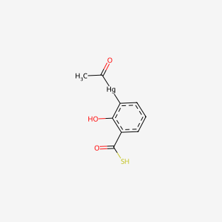 C[C](=O)[Hg][c]1cccc(C(=O)S)c1O